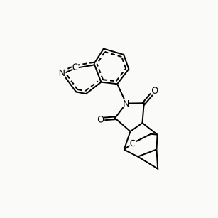 O=C1C2C3CCC(C4CC43)C2C(=O)N1c1cccc2cnccc12